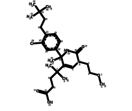 COCCN1C=C(C(C)(C)CCC(=O)O)C(C)(c2ccc(CCC(C)(C)C)c(Cl)c2)NC1=O